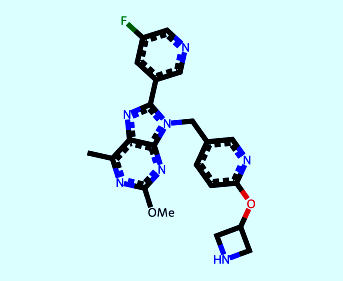 COc1nc(C)c2nc(-c3cncc(F)c3)n(Cc3ccc(OC4CNC4)nc3)c2n1